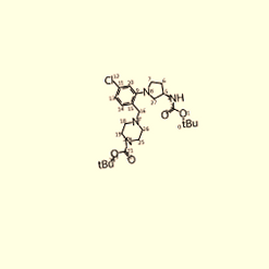 CC(C)(C)OC(=O)N[C@@H]1CCN(c2cc(Cl)ccc2CN2CCN(C(=O)OC(C)(C)C)CC2)C1